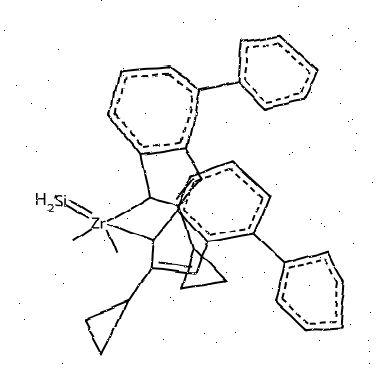 [CH3][Zr]([CH3])(=[SiH2])([CH]1C(C2CC2)=Cc2c(-c3ccccc3)cccc21)[CH]1C(C2CC2)=Cc2c(-c3ccccc3)cccc21